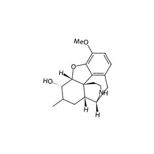 COc1ccc2c3c1O[C@H]1[C@@H](O)C(C)C[C@H]4[C@@H](C2)NCC[C@@]341